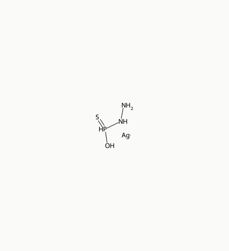 NN[PH](O)=S.[Ag]